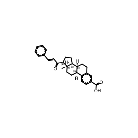 C[C@]12CC[C@@H]3c4ccc(C(=O)O)cc4CC[C@H]3[C@@H]1CC[C@@H]2C(=O)C=Cc1ccccc1